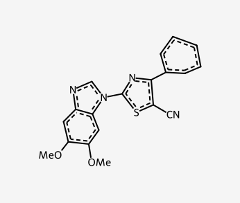 COc1cc2ncn(-c3nc(-c4ccccc4)c(C#N)s3)c2cc1OC